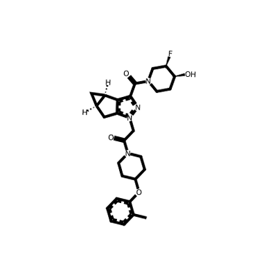 Cc1ccccc1OC1CCN(C(=O)Cn2nc(C(=O)N3CC[C@H](O)[C@H](F)C3)c3c2C[C@H]2C[C@@H]32)CC1